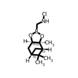 CC1(C)[C@@H]2C[C@H]3OB(CNCl)O[C@@]3(C)[C@H]1C2